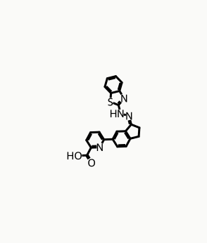 O=C(O)c1cccc(-c2ccc3c(c2)/C(=N\Nc2nc4ccccc4s2)CC3)n1